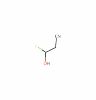 N#CCC(O)F